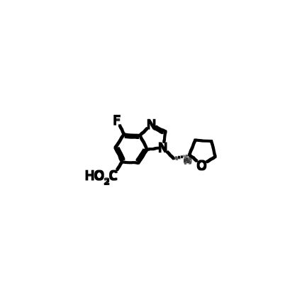 O=C(O)c1cc(F)c2ncn(C[C@@H]3CCCO3)c2c1